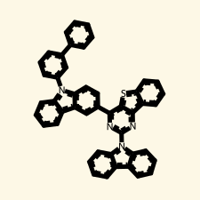 c1ccc(-c2cccc(-n3c4ccccc4c4cc(-c5nc(-n6c7ccccc7c7ccccc76)nc6c5sc5ccccc56)ccc43)c2)cc1